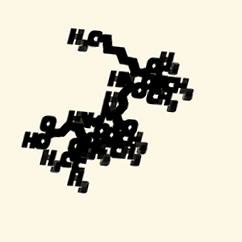 CCCCCCC(NC(=O)CCC(NC(=O)NC(CCC(=O)O)C(=O)OC(C)(C)C)C(=O)OC(C)(C)C)C(=O)OC(C)(C)C